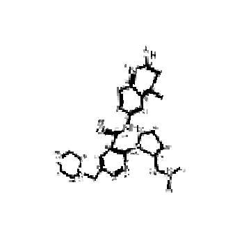 Cc1cc(O)nc2ccc(NC(=O)c3cc(CN4CCOCC4)cnc3N3CCCC3CN(C)C)cc12